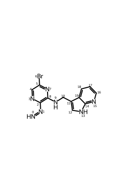 N=Nc1ncc(Br)nc1NCc1c[nH]c2ncccc12